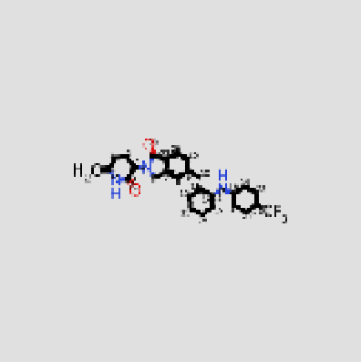 C=C1CCC(N2Cc3cc(C[C@H]4CCCC[C@@H]4NC4CCC(C(F)(F)F)CC4)ccc3C2=O)C(=O)N1